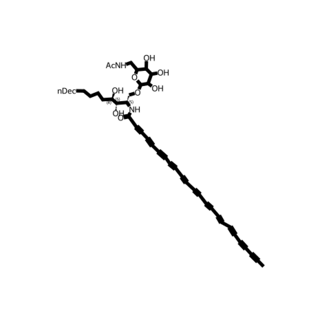 CC#CC#CC#CC#CC#CC#CC#CC#CC#CC#CC#CC(=O)N[C@@H](COC1OC(CNC(C)=O)C(O)C(O)C1O)[C@H](O)[C@H](O)CCCCCCCCCCCCCC